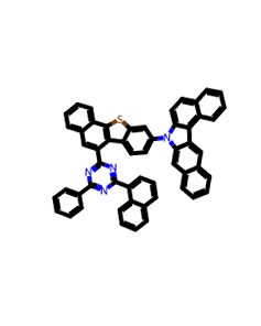 c1ccc(-c2nc(-c3cccc4ccccc34)nc(-c3cc4ccccc4c4sc5cc(-n6c7cc8ccccc8cc7c7c8ccccc8ccc76)ccc5c34)n2)cc1